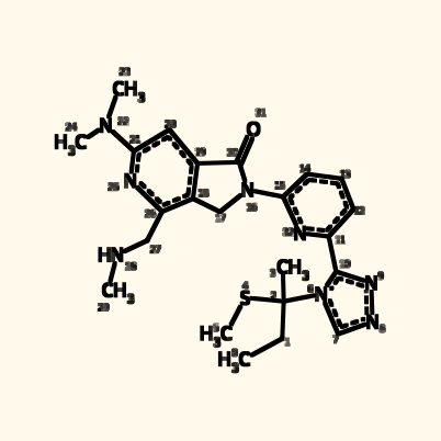 CCC(C)(SC)n1cnnc1-c1cccc(N2Cc3c(cc(N(C)C)nc3CNC)C2=O)n1